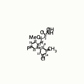 COC(CC(=O)NO)[C@H](Cc1ccc(Cl)cc1C)c1ccc(F)cc1